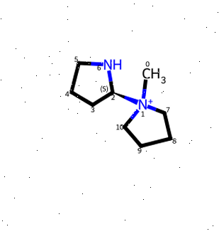 C[N+]1([C@H]2CCCN2)CCCC1